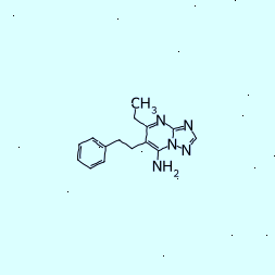 CCc1nc2ncnn2c(N)c1CCc1ccccc1